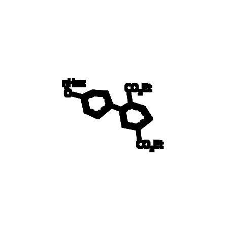 CCCCCCOc1ccc(-c2cc(C(=O)OCC)ccc2C(=O)OCC)cc1